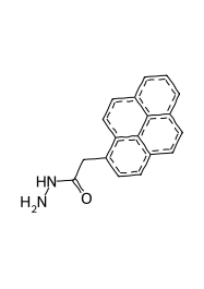 NNC(=O)Cc1ccc2ccc3cccc4ccc1c2c34